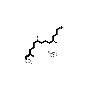 C/C(=C\C(=O)O)CCC[C@H](C)CCC[C@H](C)CCCC(C)C.[Ce].[SnH2]